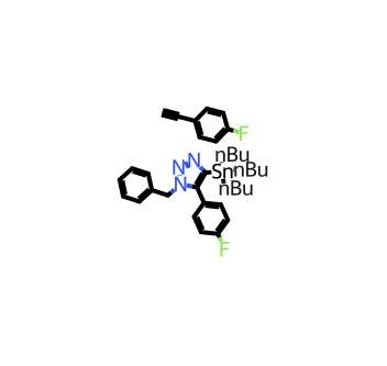 C#Cc1ccc(F)cc1.CCC[CH2][Sn]([CH2]CCC)([CH2]CCC)[c]1nnn(Cc2ccccc2)c1-c1ccc(F)cc1